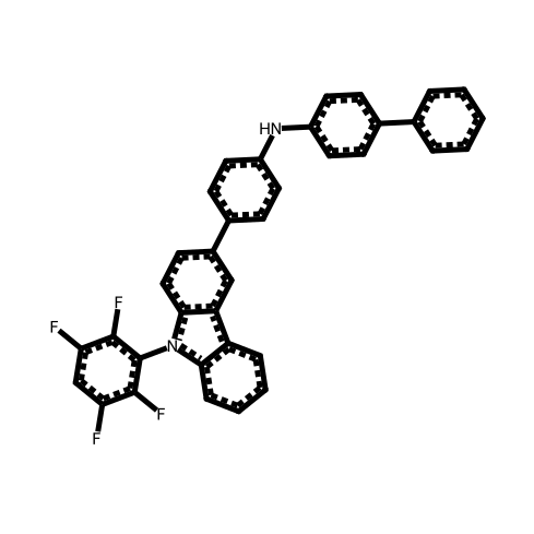 Fc1cc(F)c(F)c(-n2c3ccccc3c3cc(-c4ccc(Nc5ccc(-c6ccccc6)cc5)cc4)ccc32)c1F